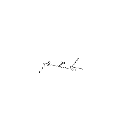 CCCCCCCCC(CCCCCCCC)OC(O)CCCCCCCN(CCO)CCCCCCCC(=O)OCC1CC1CCCCCCC